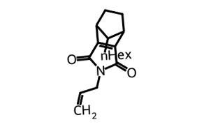 C=CCN1C(=O)C2=C(C1=O)C1CCC2C1CCCCCC